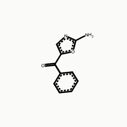 Nc1ncc(C(=O)c2ccccc2)o1